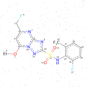 CCOc1cc(CF)nc2nc(S(=O)(=O)Nc3c(F)cccc3C(F)(F)F)nn12